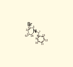 CC1C=C(Br)CN(Cc2ccccc2)C1